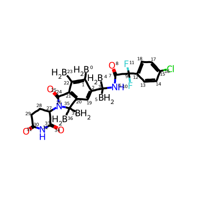 Bc1c(C(B)(B)NC(=O)C(F)(F)c2ccc(Cl)cc2)cc2c(c1B)C(=O)N(C1CCC(=O)NC1=O)C2(B)B